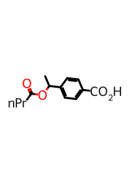 CCCC(=O)OC(C)c1ccc(C(=O)O)cc1